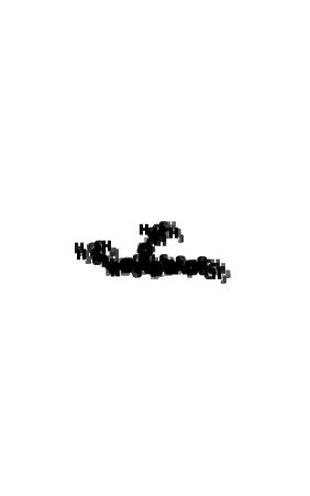 Cc1cc(C(=O)NC2CCN(C(=O)OC(C)(C)C)CC2)ccc1-c1ccc(C[C@H](NC(=O)[C@H]2CC[C@H](CNC(=O)OC(C)(C)C)CC2)C(=O)Nc2ccc(-c3nnc(CCC(=O)OC(C)(C)C)[nH]3)cc2)cc1